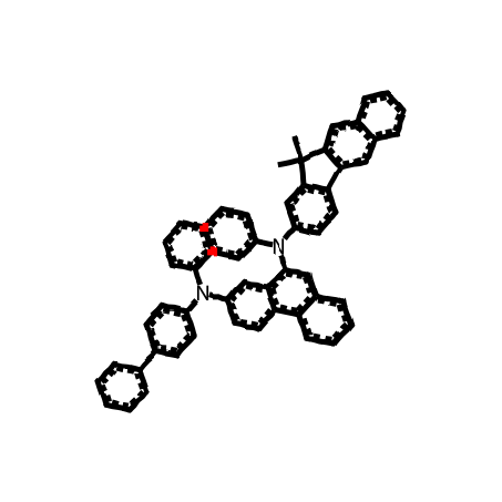 CC1(C)c2cc(N(c3ccccc3)c3cc4ccccc4c4ccc(N(c5ccccc5)c5ccc(-c6ccccc6)cc5)cc34)ccc2-c2cc3ccccc3cc21